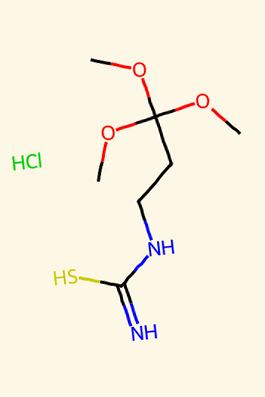 COC(CCNC(=N)S)(OC)OC.Cl